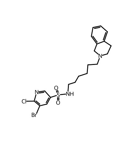 O=S(=O)(NCCCCCCN1CCc2ccccc2C1)c1cnc(Cl)c(Br)c1